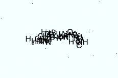 Cc1[nH]nc(Nc2ncnc3cc(OCCCN4CCN(c5ncc(C(=O)Nc6cccc7c6CN(C6CCC(=O)NC6=O)C7=O)cn5)CC4)c(S(=O)(=O)C(C)(C)C)cc23)c1C